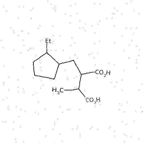 CCC1CCCC1CC(C(=O)O)C(C)C(=O)O